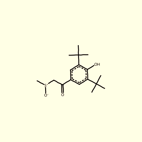 C[S+]([O-])CC(=O)c1cc(C(C)(C)C)c(O)c(C(C)(C)C)c1